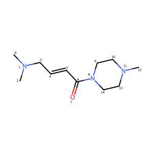 CN(C)C/C=C/C(=O)N1CCN(C)CC1